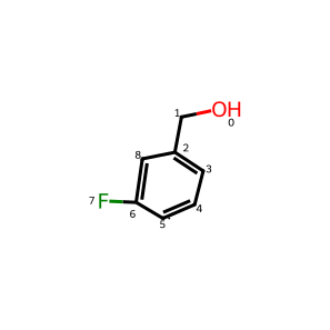 OCc1cc[c]c(F)c1